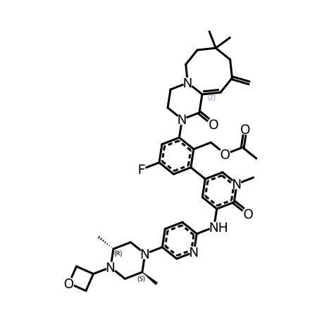 C=C1/C=C2/C(=O)N(c3cc(F)cc(-c4cc(Nc5ccc(N6C[C@@H](C)N(C7COC7)C[C@@H]6C)cn5)c(=O)n(C)c4)c3COC(C)=O)CCN2CCC(C)(C)C1